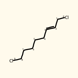 ClCC=CCCCCCCl